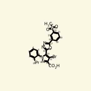 CC(C)c1ccccc1-n1nc(C(=O)O)c(Br)c1-c1nnc(-c2cccc(S(C)(=O)=O)c2)o1